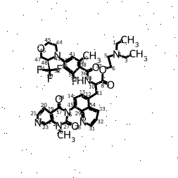 CCN(CC)CCOC(=O)C(Cc1ccc(-n2c(=O)c3ccncc3n(C)c2=O)c2ncccc12)NC(=O)c1c(C)cc(N2CCOC[C@@H]2C(F)(F)F)cc1F